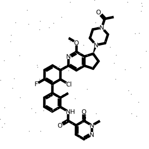 COc1nc(C2C=CC(F)=C(c3cccc(NC(=O)c4ccnn(C)c4=O)c3C)C2Cl)cc2c1[C@@H](N1CCN(C(C)=O)CC1)CC2